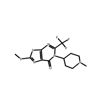 CSc1nc2c(=O)n(C3CCN(C)CC3)c(C(F)(F)F)nc2s1